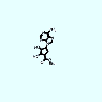 CCCCOC(=O)C1CC(n2cnc3c(N)ncnc32)C(O)C1O